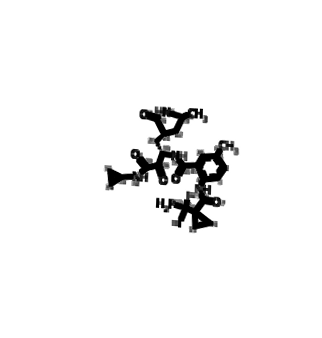 Cc1ccc(NC(=O)C2(C(P)(I)I)CC2)c(C(=O)N[C@@H](C[C@@H]2CC(C)NC2=O)C(=O)C(=O)NC2CC2)c1